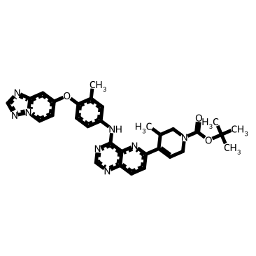 Cc1cc(Nc2ncnc3ccc(C4=CCN(C(=O)OC(C)(C)C)CC4C)nc23)ccc1Oc1ccn2ncnc2c1